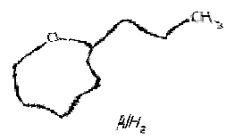 CCCC1CCCCO1.[AlH3]